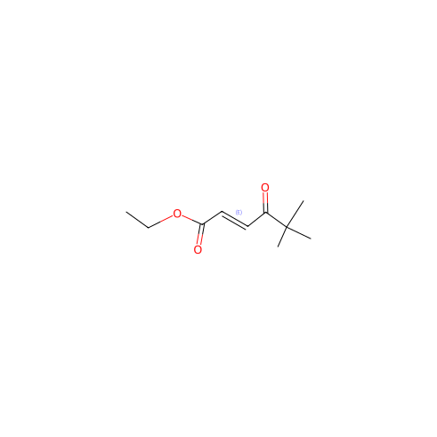 CCOC(=O)/C=C/C(=O)C(C)(C)C